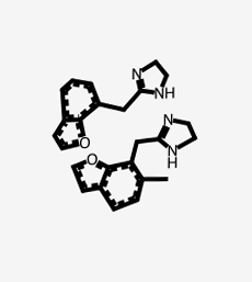 Cc1ccc2ccoc2c1CC1=NCCN1.c1cc(CC2=NCCN2)c2occc2c1